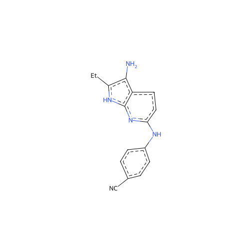 CCc1[nH]c2nc(Nc3ccc(C#N)cc3)ccc2c1N